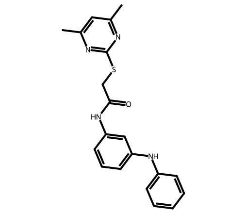 Cc1cc(C)nc(SCC(=O)Nc2cccc(Nc3ccccc3)c2)n1